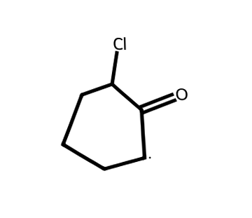 O=C1[CH]CCCC1Cl